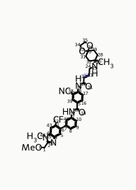 COCc1nc2cc(-c3cccc(NC(=O)c4ccc(NC(=O)/C=C/CNC5(C)CCC6(CC5)OCCO6)c(C#N)c4)c3)c(C(F)(F)F)cc2n1C